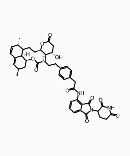 C[C@H]1C=C2C=C[C@H](C)C(CC[C@@H]3C[C@@H](O)CC(=O)O3)[C@H]2[C@@H](OC(=O)NCCc2ccc(CC(=O)Nc3cccc4c3C(=O)N(C3CCC(=O)NC3=O)C4=O)cc2)C1